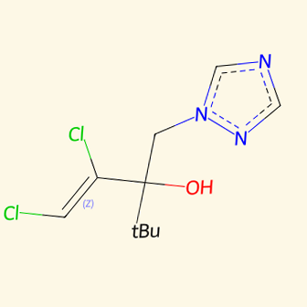 CC(C)(C)C(O)(Cn1cncn1)/C(Cl)=C/Cl